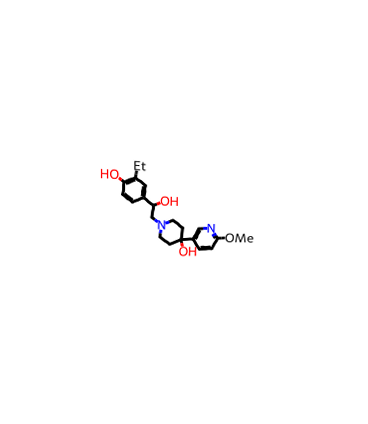 CCc1cc(C(O)CN2CCC(O)(c3ccc(OC)nc3)CC2)ccc1O